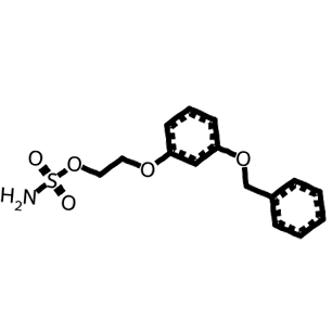 NS(=O)(=O)OCCOc1cccc(OCc2ccccc2)c1